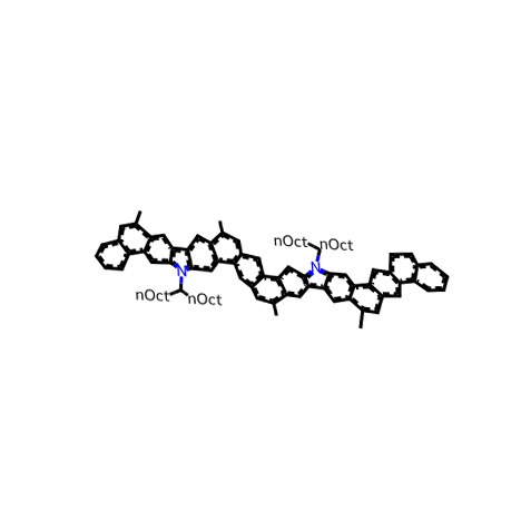 CCCCCCCCC(CCCCCCCC)n1c2cc3c(cc2c2cc4c(C)cc5cc6c(cc(C)c7cc8c9cc%10c(C)cc%11cc%12c(ccc%13ccccc%13%12)cc%11c%10cc9n(C(CCCCCCCC)CCCCCCCC)c8cc76)cc5c4cc21)c(C)cc1ccccc13